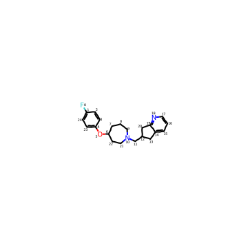 Fc1ccc(OC2CCCN(CC3Cc4cccnc4C3)CC2)cc1